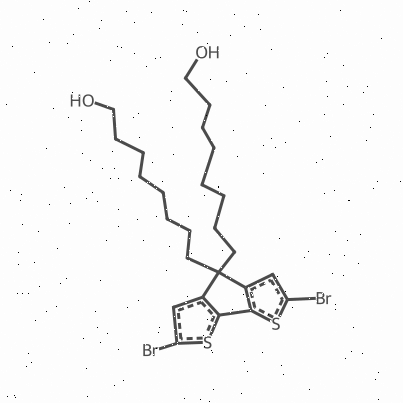 OCCCCCCCCC1(CCCCCCCCO)c2cc(Br)sc2-c2sc(Br)cc21